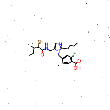 CCCCc1ncc(CNC(=O)C(S)C(C)CC)n1Cc1ccc(C(=O)O)c(F)c1